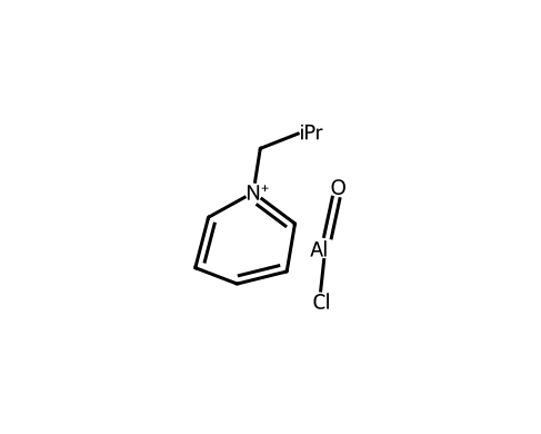 CC(C)C[n+]1ccccc1.[O]=[Al][Cl]